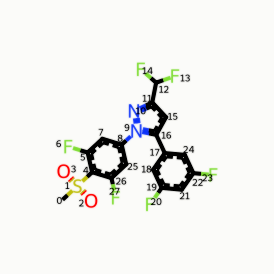 CS(=O)(=O)c1c(F)cc(-n2nc(C(F)F)cc2-c2cc(F)cc(F)c2)cc1F